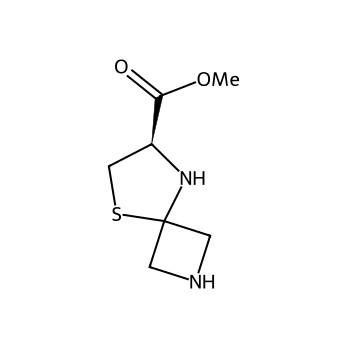 COC(=O)[C@@H]1CSC2(CNC2)N1